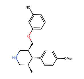 COc1ccc([C@H]2[C@H](COc3cccc(C#N)c3)CNC[C@@H]2C)cc1